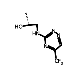 C[C@@H](O)CNc1nncc(C(F)(F)F)n1